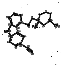 CN1CCCC(C)(COc2ccnc3[nH]c4cnc(C#N)cc4c23)C1